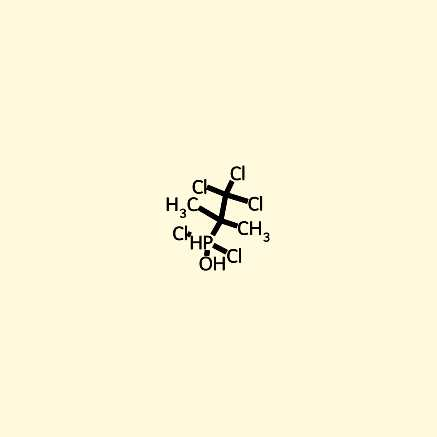 CC(C)(C(Cl)(Cl)Cl)[PH](O)(Cl)Cl